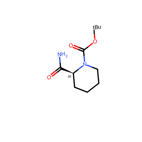 CC(C)(C)OC(=O)N1CCCC[C@H]1C(N)=O